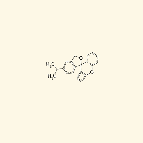 CC(C)c1ccc2c(c1)COC21c2ccccc2Oc2ccccc21